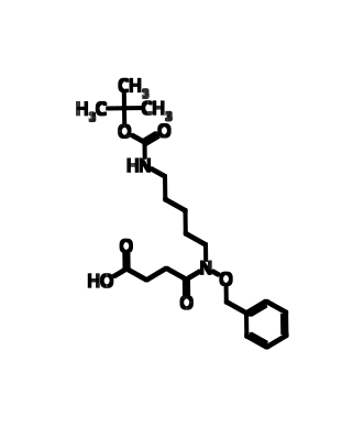 CC(C)(C)OC(=O)NCCCCCN(OCc1ccccc1)C(=O)CCC(=O)O